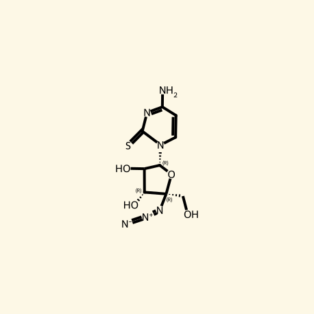 [N-]=[N+]=N[C@]1(CO)O[C@@H](n2ccc(N)nc2=S)C(O)[C@H]1O